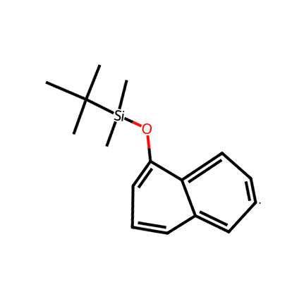 CC(C)(C)[Si](C)(C)Oc1cccc2c[c]ccc12